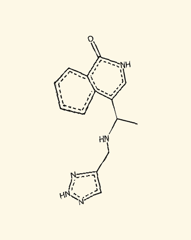 CC(NCc1cn[nH]n1)c1c[nH]c(=O)c2ccccc12